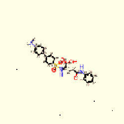 CN(C)c1ccc(-c2ccc(S(=O)(=O)N[C@@H](CCC(=O)Nc3ccccc3)C(=O)O)cc2)cc1